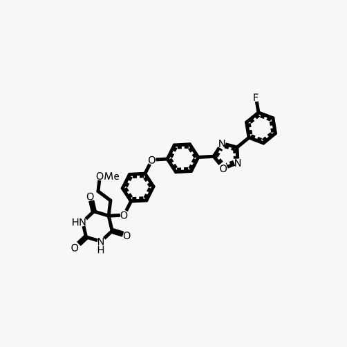 COCCC1(Oc2ccc(Oc3ccc(-c4nc(-c5cccc(F)c5)no4)cc3)cc2)C(=O)NC(=O)NC1=O